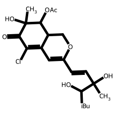 CCC(C)C(O)C(C)(O)/C=C/C1=CC2=C(Cl)C(=O)C(C)(O)C(OC(C)=O)C2CO1